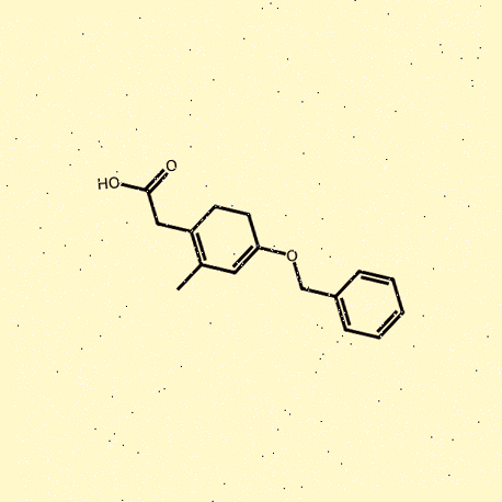 CC1=C(CC(=O)O)CCC(OCc2ccccc2)=C1